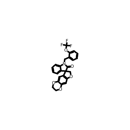 O=C1N(Cc2ccccc2OC(F)(F)F)c2ccccc2C12COc1cc3c(cc12)OCCO3